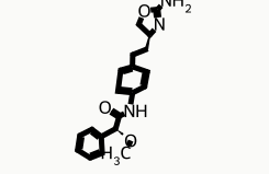 CO[C@@H](C(=O)Nc1ccc(CC[C@H]2COC(N)=N2)cc1)c1ccccc1